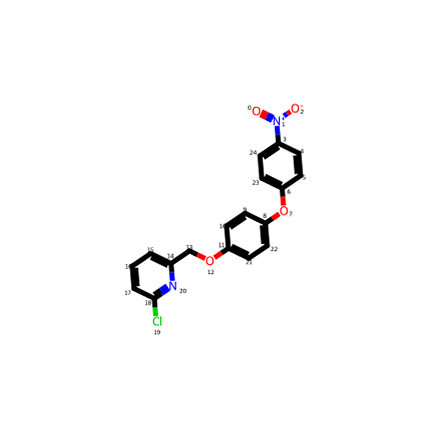 O=[N+]([O-])c1ccc(Oc2ccc(OCc3cccc(Cl)n3)cc2)cc1